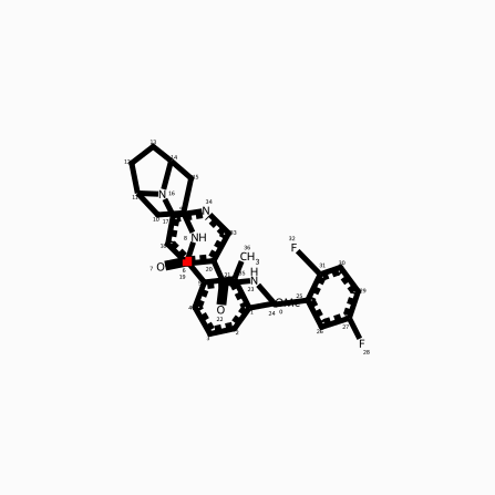 COc1cccc(C(=O)NC2CC3CCC(C2)N3c2ccc(C(=O)NCc3cc(F)ccc3F)cn2)c1C